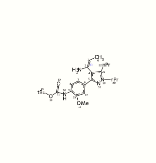 C/C=C(/N)c1c(-c2ccc(NC(=O)OC(C)(C)C)c(OC)c2)nn(CCC)c1CCC